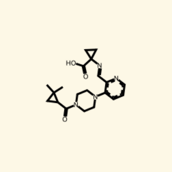 CC1(C)CC1C(=O)N1CCN(c2cccnc2C=NC2(C(=O)O)CC2)CC1